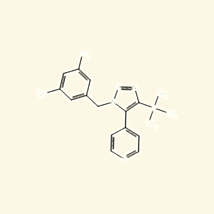 CS(C)(C)c1nnn(Cc2cc(C(F)(F)F)cc(C(F)(F)F)c2)c1-c1ccncc1